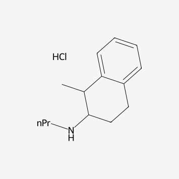 CCCNC1CCc2ccccc2C1C.Cl